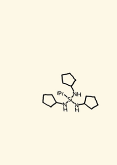 CC(C)[Si](NC1CCCC1)(NC1CCCC1)NC1CCCC1